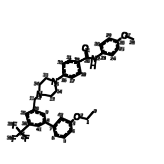 CCOc1cccc(-c2cc(CN3CCN(c4ccc(C(=O)Nc5ccc(OC)cc5)cc4)CC3)cc(C(F)(F)F)c2)c1